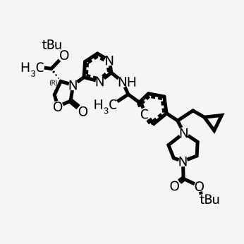 CC(Nc1nccc(N2C(=O)OC[C@@H]2C(C)OC(C)(C)C)n1)c1ccc(C(CC2CC2)N2CCN(C(=O)OC(C)(C)C)CC2)cc1